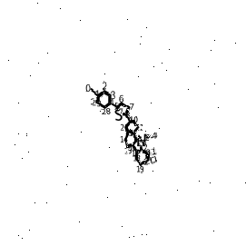 Cc1ccc(-c2ccc(-c3ccc4c(ccc5c6ccccc6n(C)c45)c3)s2)cc1